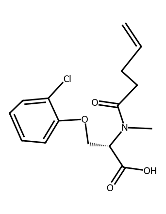 C=CCCC(=O)N(C)[C@@H](COc1ccccc1Cl)C(=O)O